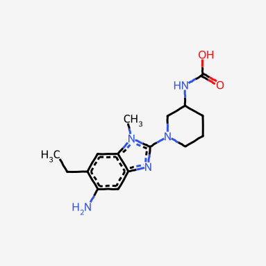 CCc1cc2c(cc1N)nc(N1CCCC(NC(=O)O)C1)n2C